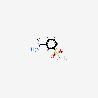 C[C@@H](N)c1cccc(S(N)(=O)=O)c1